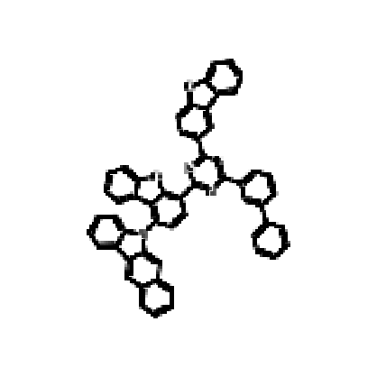 c1ccc(-c2cccc(-c3nc(-c4ccc5oc6ccccc6c5c4)nc(-c4ccc(-n5c6ccccc6c6cc7ccccc7cc65)c5c4oc4ccccc45)n3)c2)cc1